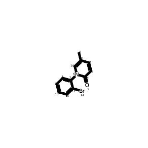 Cc1ccc(=O)n(-c2ccccc2Br)c1